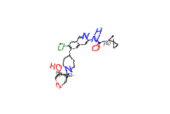 C[C@]1(N2CCC(c3cc4cc(NC(=O)[C@H]5CC56CC6)ncc4cc3Cl)CC2)COC[C@H]1O